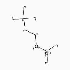 C[SiH](C)O[CH]CC(C)(C)C